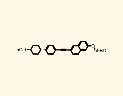 CCCCCCCC[C@H]1CC[C@H](c2ccc(C#Cc3ccc4cc(OCCCCC)ccc4c3)cc2)CC1